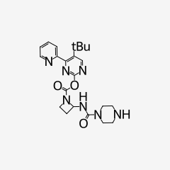 CC(C)(C)c1cnc(OC(=O)N2CCC2NC(=O)N2CCNCC2)nc1-c1ccccn1